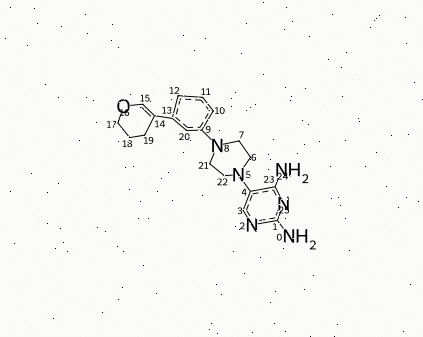 Nc1ncc(N2CCN(c3cccc(C4=COCCC4)c3)CC2)c(N)n1